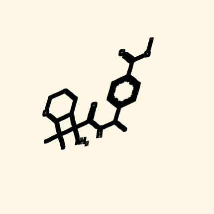 COC(=O)c1ccc(C(C)NC(=O)C2(N)C3CCCOC3C2(C)C)cc1